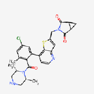 Cc1cc(Cl)cc(-c2ccnc3cc(CN4C(=O)C5CC5C4=O)sc23)c1C(=O)N1[C@@H](C)CNC[C@@H]1C